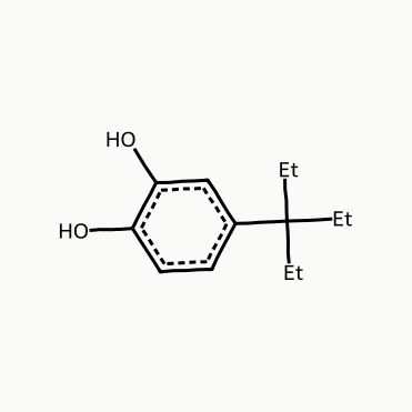 CCC(CC)(CC)c1ccc(O)c(O)c1